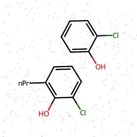 CCCc1cccc(Cl)c1O.Oc1ccccc1Cl